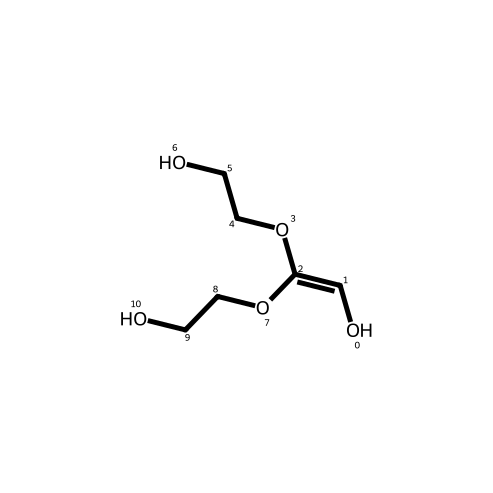 OC=C(OCCO)OCCO